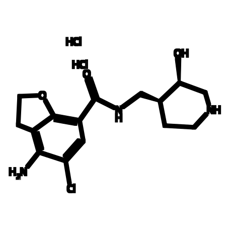 Cl.Cl.Nc1c(Cl)cc(C(=O)NC[C@@H]2CCNC[C@@H]2O)c2c1CCO2